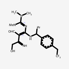 CN/C(=N\C(NC(c1ccc(CC(F)(F)F)cc1)C(C)C)=C(/C=O)C(=N)CO)N(C)C